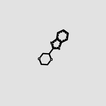 c1ccc2sc(C3COCCO3)nc2c1